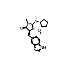 CO[C@H]1CCC[C@@H]1NC1=N/C(=C\c2ccc3[nH]cnc3c2)C(=O)N1C